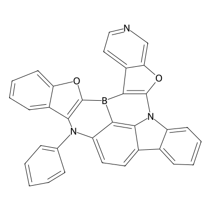 c1ccc(N2c3ccc4c5ccccc5n5c4c3B(c3oc4ccccc4c32)c2c-5oc3cnccc23)cc1